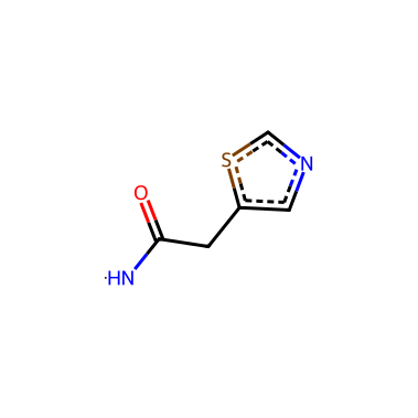 [NH]C(=O)Cc1cncs1